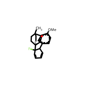 COc1ccc(C2C=CC=CC2(F)C23CCC(C)(CC2)CC3)cc1